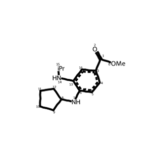 COC(=O)c1ccc(NC2CCCC2)c(NC(C)C)c1